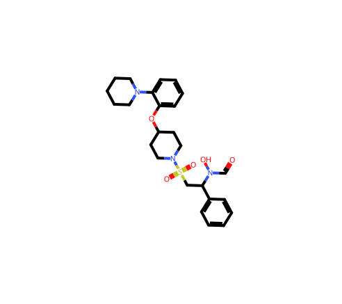 O=CN(O)C(CS(=O)(=O)N1CCC(Oc2ccccc2N2CCCCC2)CC1)c1ccccc1